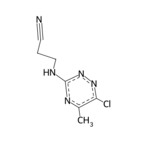 Cc1nc(NCCC#N)nnc1Cl